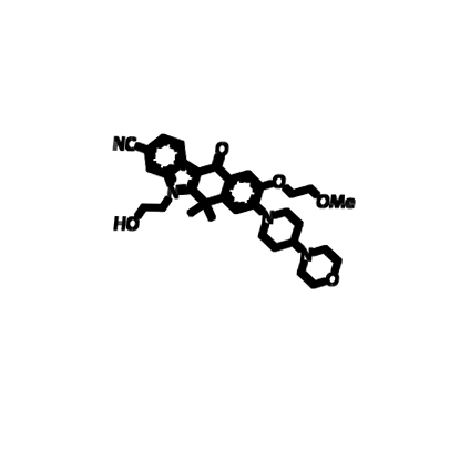 COCCOc1cc2c(cc1N1CCC(N3CCOCC3)CC1)C(C)(C)c1c(c3ccc(C#N)cc3n1CCO)C2=O